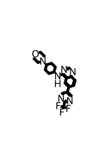 FC(F)(F)c1ncc(-c2ccc3ncnc(N[C@H]4CC[C@@H](N5CCOCC5)CC4)c3c2)cn1